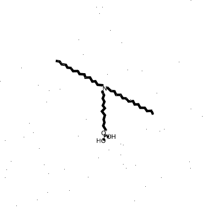 CCCCCCCCCCCCCCCCN(CCCCCCCCCCCCCCCC)CCCCCCCCCCCCOP(O)O